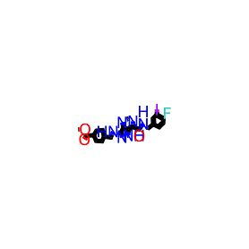 COC(=O)C1CCC(CNc2n[nH]c3c(C(=O)NCc4ccc(F)c(I)c4)ncnc23)CC1